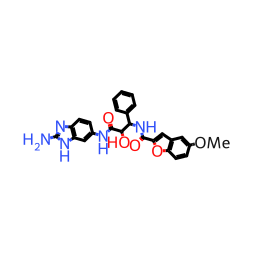 COc1ccc2oc(C(=O)NC(c3ccccc3)C(O)C(=O)Nc3ccc4nc(N)[nH]c4c3)cc2c1